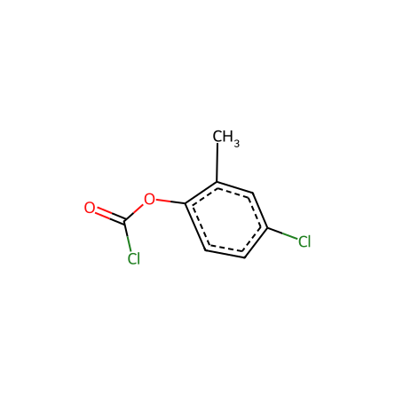 Cc1cc(Cl)ccc1OC(=O)Cl